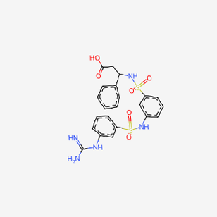 N=C(N)Nc1cccc(S(=O)(=O)Nc2cccc(S(=O)(=O)NC(CC(=O)O)c3ccccc3)c2)c1